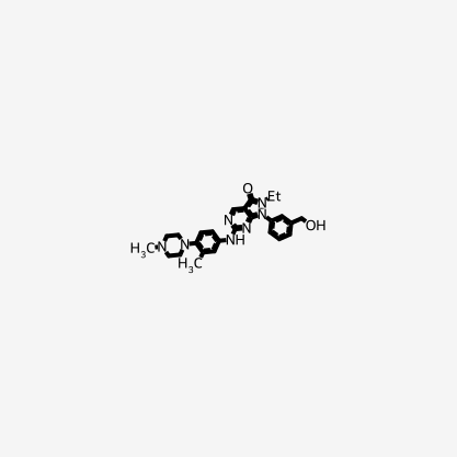 CCn1c(=O)c2cnc(Nc3ccc(N4CCN(C)CC4)c(C)c3)nc2n1-c1cccc(CO)c1